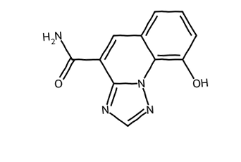 NC(=O)c1cc2cccc(O)c2n2ncnc12